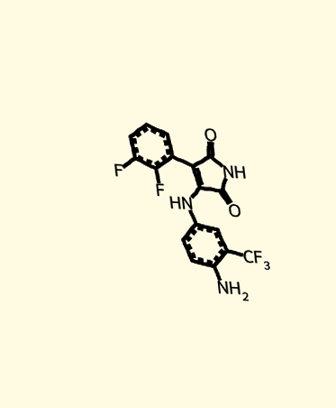 Nc1ccc(NC2=C(c3cccc(F)c3F)C(=O)NC2=O)cc1C(F)(F)F